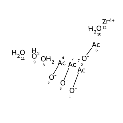 CC(=O)[O-].CC(=O)[O-].CC(=O)[O-].CC(=O)[O-].O.O.O.O.[Zr+4]